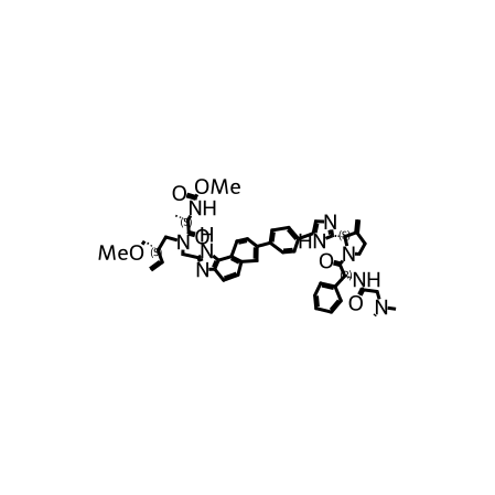 C=C[C@H](COC)CN(Cc1nc2ccc3cc(-c4ccc(-c5cnc([C@@H]6C(=C)CCN6C(=O)[C@H](NC(=O)CN(C)C)c6ccccc6)[nH]5)cc4)ccc3c2[nH]1)C(=O)[C@H](C)NC(=O)OC